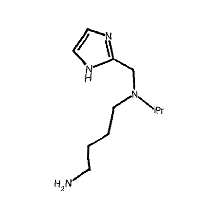 CC(C)N(CCCCN)Cc1ncc[nH]1